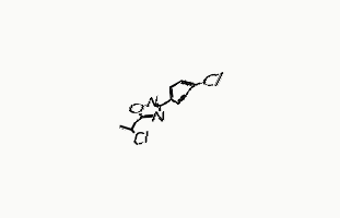 CC(Cl)c1nc(-c2ccc(Cl)cc2)no1